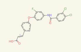 O=C(O)/C=C/c1ccc(Oc2ccc(NC(=O)c3ccc(Cl)c(Cl)c3)cc2F)cc1